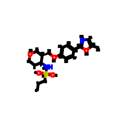 CCCS(=O)(=O)N[C@H]1CCOC[C@@H]1COc1ccc(-c2ncc(C)o2)cc1